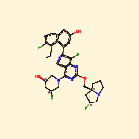 CCc1c(F)ccc2cc(O)cc(-c3ncc4c(N5C[C@H](O)C[C@H](F)C5)nc(OC[C@@]56CCCN5C[C@H](F)C6)nc4c3F)c12